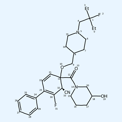 CCC(F)(CC)CN1CCC(COC2(C(=O)N3CCCC(O)C3)C=CC(c3ccccc3)=C(F)[C@@H]2C#N)CC1